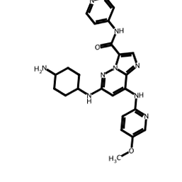 COc1ccc(Nc2cc(NC3CCC(N)CC3)nn3c(C(=O)Nc4ccncc4)cnc23)nc1